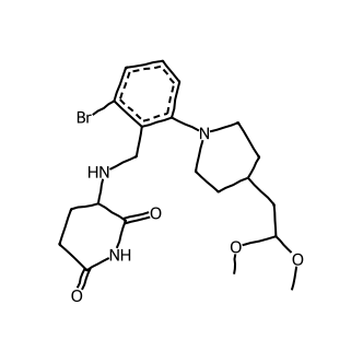 COC(CC1CCN(c2cccc(Br)c2CNC2CCC(=O)NC2=O)CC1)OC